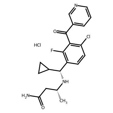 C[C@H](CC(N)=O)N[C@@H](c1ccc(Cl)c(C(=O)c2cccnc2)c1F)C1CC1.Cl